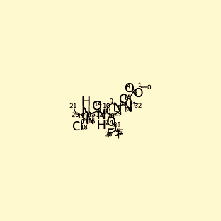 CCOC(=O)c1oc(N2CC[C@@H](NC(=O)c3nc(Cl)c(CC)[nH]3)[C@@H](OCC(F)F)C2)nc1C